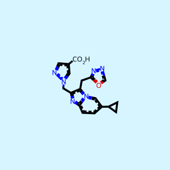 O=C(O)c1cnn(Cc2nc3ccc(C4CC4)cn3c2Cc2nnco2)c1